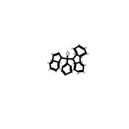 ClC(c1ccccc1)(C1C=Cc2ccccc21)C1c2ccccc2-c2ccccc21